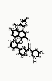 Cc1nc(N(C)c2c(F)ccc3c(Oc4ncccc4-c4ccnc(N[C@@H]5CNC[C@H](C)C5)n4)c(C)ccc23)cs1